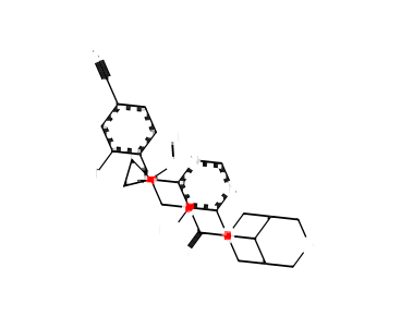 COC1(COC(=O)N2CC3COCC(C2)C3Oc2ncnc(Nc3ccc(C#N)cc3Cl)c2C)CC1